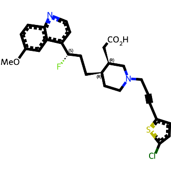 COc1ccc2nccc([C@@H](F)CC[C@@H]3CCN(CC#Cc4ccc(Cl)s4)C[C@@H]3CC(=O)O)c2c1